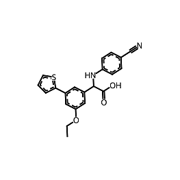 CCOc1cc(-c2cccs2)cc(C(Nc2ccc(C#N)cc2)C(=O)O)c1